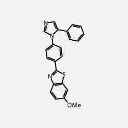 COc1ccc2nc(-c3ccc(-n4cncc4-c4ccccc4)cc3)sc2c1